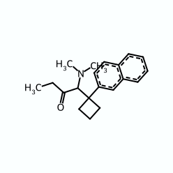 CCC(=O)C(N(C)C)C1(c2ccc3ccccc3c2)CCC1